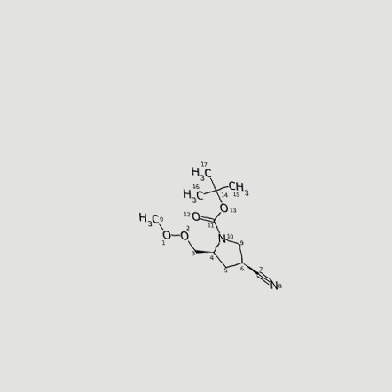 COOC[C@@H]1C[C@H](C#N)CN1C(=O)OC(C)(C)C